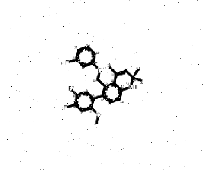 COc1cc(F)c(F)cc1-c1ccc2c(c1COc1cccc(F)c1)C(C)=CC(C)(C)N2